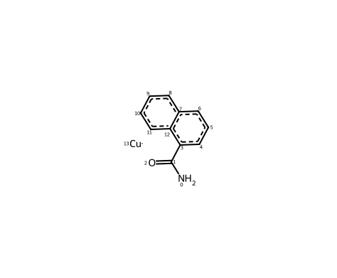 NC(=O)c1cccc2ccccc12.[Cu]